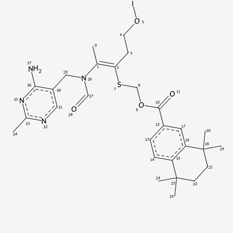 C/C(=C(\CCOI)SCOC(=O)c1ccc2c(c1)C(C)(C)CCC2(C)C)N(C=O)Cc1cnc(C)nc1N